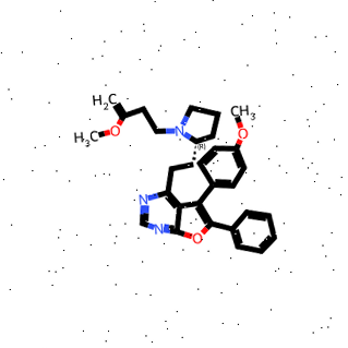 C=C(CCN1CCC[C@@H]1CCc1ncnc2oc(-c3ccccc3)c(-c3ccc(OC)cc3)c12)OC